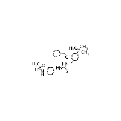 CC(C)(C)c1ccc(CNC(=S)NCc2ccc(NS(C)(=O)=O)cc2)c(OCc2ccccc2)c1